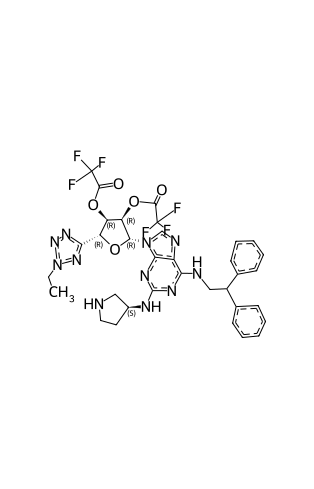 CCn1nnc([C@H]2O[C@@H](n3cnc4c(NCC(c5ccccc5)c5ccccc5)nc(N[C@H]5CCNC5)nc43)[C@H](OC(=O)C(F)(F)F)[C@@H]2OC(=O)C(F)(F)F)n1